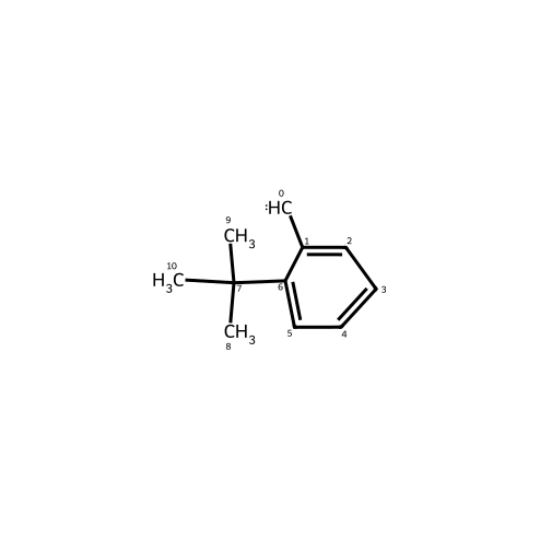 [CH]c1ccccc1C(C)(C)C